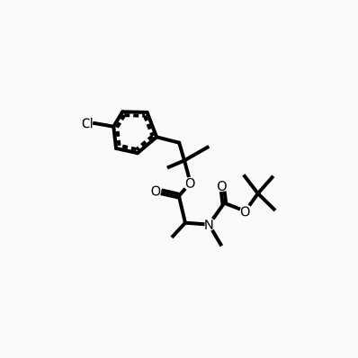 CC(C(=O)OC(C)(C)Cc1ccc(Cl)cc1)N(C)C(=O)OC(C)(C)C